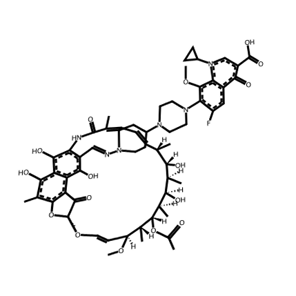 COc1c(N2CCN(C3CCN(/N=C/c4c5c(O)c6c(O)c(C)c7c(c6c4O)C(=O)[C@@](C)(O/C=C/[C@H](OC)[C@@H](C)[C@@H](OC(C)=O)[C@H](C)[C@H](O)[C@H](C)[C@@H](O)[C@@H](C)/C=C/C=C(/C)C(=O)N5)O7)CC3)CC2)c(F)cc2c(=O)c(C(=O)O)cn(C3CC3)c12